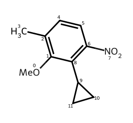 COc1c(C)ccc([N+](=O)[O-])c1C1CC1